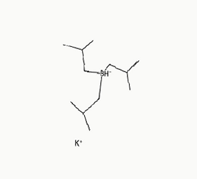 CC(C)C[BH-](CC(C)C)CC(C)C.[K+]